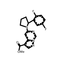 COC(=O)c1cnn2cnc(N3CCCC3c3cc(F)ccc3F)cc12